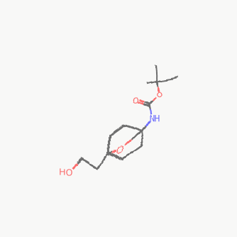 CC(C)(C)OC(=O)NC12CCC(CCO)(CC1)OC2